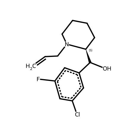 C=CCN1CCCC[C@H]1C(O)c1cc(F)cc(Cl)c1